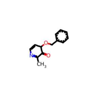 CC1=NC=CC(OCc2ccccc2)C1=O